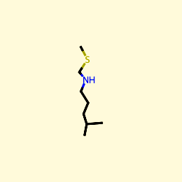 CSCNCCCC(C)C